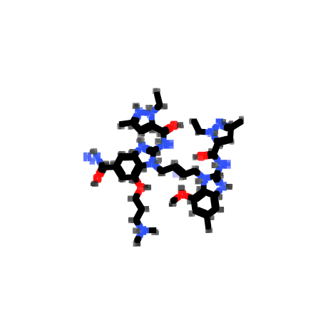 CCn1nc(C)cc1C(=O)Nc1nc2cc(C)cc(OC)c2n1C/C=C/Cn1c(NC(=O)c2cc(C)nn2CC)nc2cc(C(N)=O)cc(OCCCN(C)C)c21